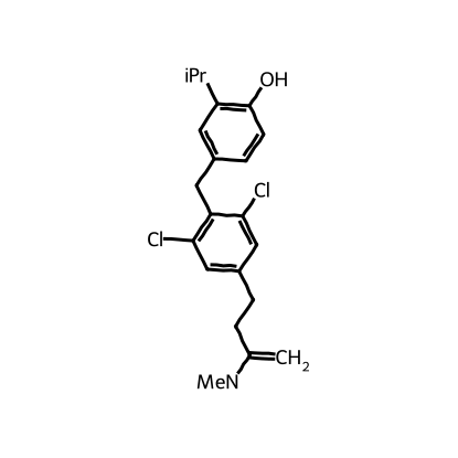 C=C(CCc1cc(Cl)c(Cc2ccc(O)c(C(C)C)c2)c(Cl)c1)NC